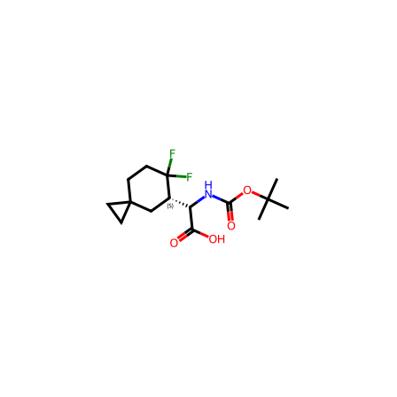 CC(C)(C)OC(=O)NC(C(=O)O)[C@@H]1CC2(CC2)CCC1(F)F